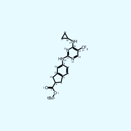 CC(C)(C)OC(=O)C1Cc2ccc(Nc3ncc(C(F)(F)F)c(NC4CC4)n3)cc2C1